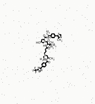 CCN(CCCC(=O)NC(C(=O)N1C[C@H](O)C[C@H]1C(=O)N[C@@H](C)c1ccc(-c2scnc2C)cc1)C(C)(C)C)CC(C)NC(=O)c1ccc(-c2noc(C(F)(F)F)n2)cc1